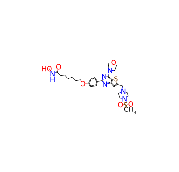 CS(=O)(=O)N1CCN(Cc2cc3nc(-c4ccc(OCCCCCCC(=O)NO)cc4)nc(N4CCOCC4)c3s2)CC1